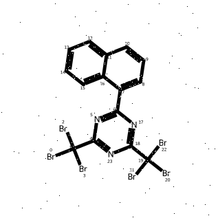 BrC(Br)(Br)c1nc(-c2cccc3ccccc23)nc(C(Br)(Br)Br)n1